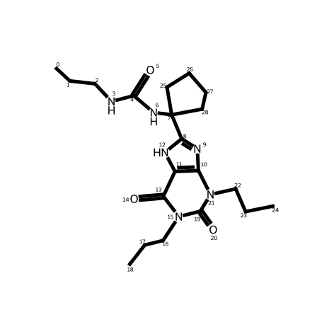 CCCNC(=O)NC1(c2nc3c([nH]2)c(=O)n(CCC)c(=O)n3CCC)CCCC1